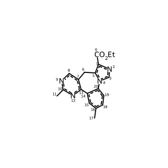 CCOC(=O)c1ncn2c1Cc1cnc(C)nc1-c1cc(C)ccc1-2